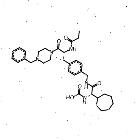 CCC(=O)N[C@H](Cc1ccc(CNC(=O)[C@@H](NC(=O)O)C2CCCCCC2)cc1)C(=O)N1CCN(Cc2ccccc2)CC1